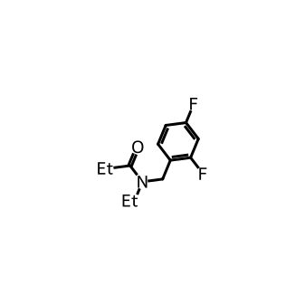 CCC(=O)N(CC)Cc1ccc(F)cc1F